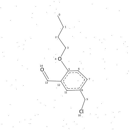 CCCCOc1ccc(CCl)cc1C=O